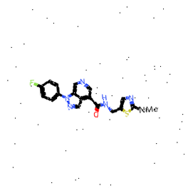 CNc1ncc(CNC(=O)c2cncc3c2cnn3-c2ccc(F)cc2)s1